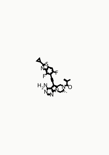 C=C(C)C(=O)N1Cc2c(C#Cc3c(F)cc4sc(C5CC5)nc4c3F)c3c(N)ncnc3n2C[C@H]1C